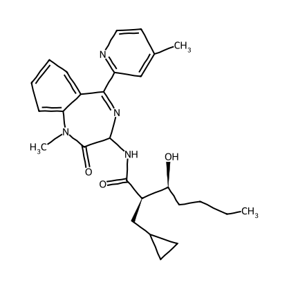 CCCC[C@H](O)[C@@H](CC1CC1)C(=O)NC1N=C(c2cc(C)ccn2)c2ccccc2N(C)C1=O